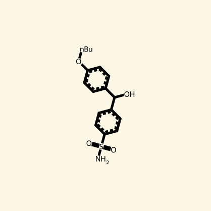 CCCCOc1ccc(C(O)c2ccc(S(N)(=O)=O)cc2)cc1